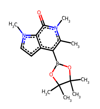 Cc1c(B2OC(C)(C)C(C)(C)O2)c2ccn(C)c2c(=O)n1C